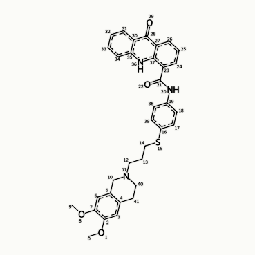 COc1cc2c(cc1OC)CN(CCCSc1ccc(NC(=O)c3cccc4c(=O)c5ccccc5[nH]c34)cc1)CC2